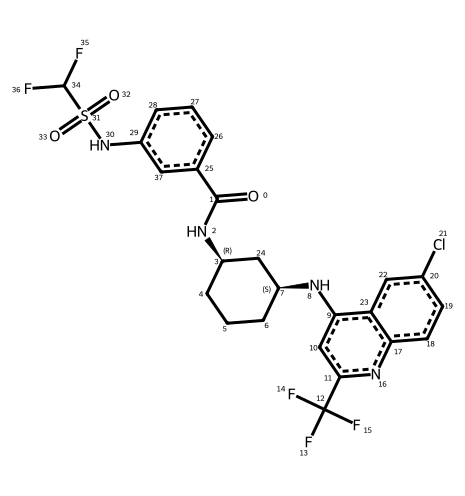 O=C(N[C@@H]1CCC[C@H](Nc2cc(C(F)(F)F)nc3ccc(Cl)cc23)C1)c1cccc(NS(=O)(=O)C(F)F)c1